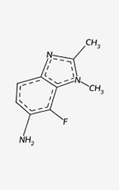 Cc1nc2ccc(N)c(F)c2n1C